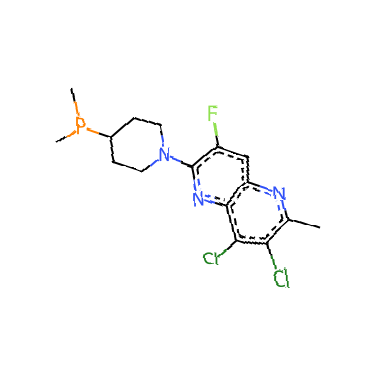 Cc1nc2cc(F)c(N3CCC(P(C)C)CC3)nc2c(Cl)c1Cl